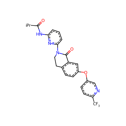 CC(C)C(=O)Nc1cccc(N2CCc3ccc(Oc4ccc(C(F)(F)F)nc4)cc3C2=O)n1